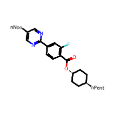 CCCCCCCCCc1cnc(-c2ccc(C(=O)O[C@H]3CC[C@H](CCCCC)CC3)c(F)c2)nc1